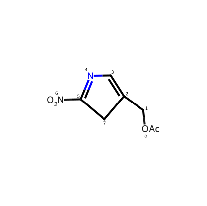 CC(=O)OCC1=CN=C([N+](=O)[O-])C1